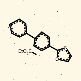 CCOC(C)=O.c1ccc(-c2ccc(-c3ncco3)cc2)cc1